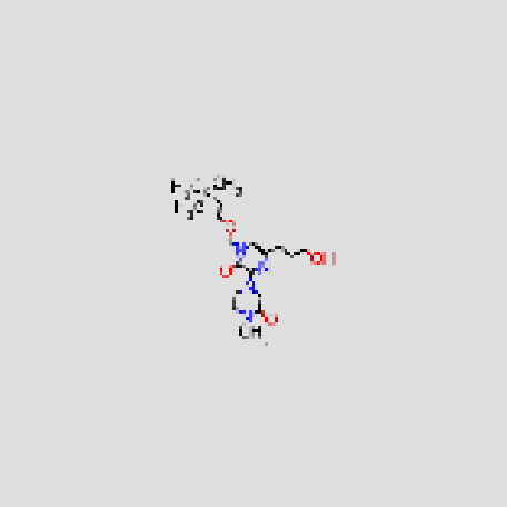 CN1CCN(c2nc(CCCO)cn(COCC[Si](C)(C)C)c2=O)CC1=O